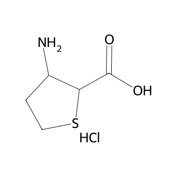 Cl.NC1CCSC1C(=O)O